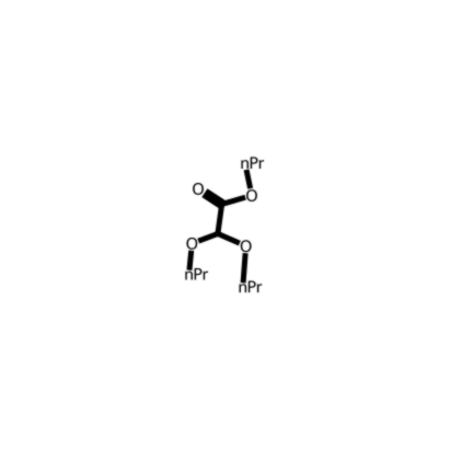 CCCOC(=O)C(OCCC)OCCC